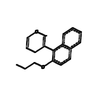 CCCOc1ccc2ccccc2c1C1=[C]OC=CC1